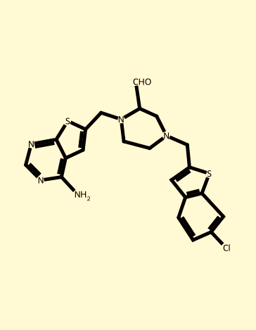 Nc1ncnc2sc(CN3CCN(Cc4cc5ccc(Cl)cc5s4)CC3C=O)cc12